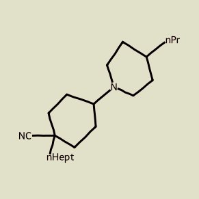 CCCCCCCC1(C#N)CCC(N2CCC(CCC)CC2)CC1